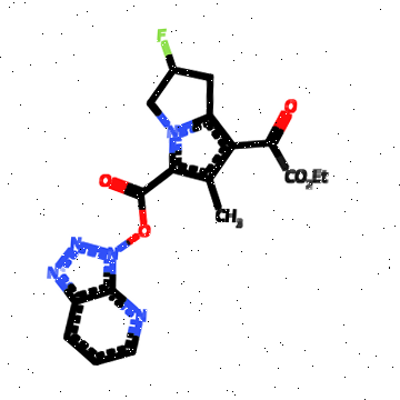 CCOC(=O)C(=O)c1c(C)c(C(=O)On2nnc3cccnc32)n2c1CC(F)C2